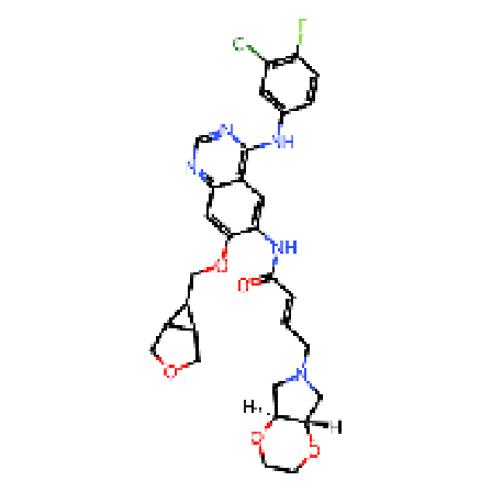 O=C(/C=C/CN1C[C@@H]2OCCO[C@H]2C1)Nc1cc2c(Nc3ccc(F)c(Cl)c3)ncnc2cc1OCC1C2COCC21